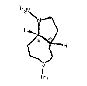 CN1CC[C@H]2[C@H](CCN2N)C1